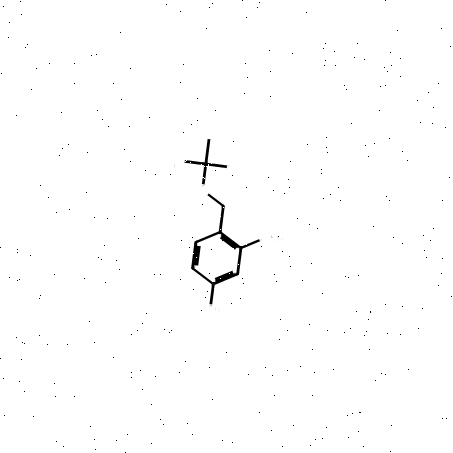 COc1cc(C#N)ccc1COC(C)(C(F)(F)F)C(F)(F)F